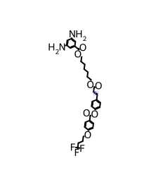 Nc1cc(N)cc(C(=O)OCCCCCCCOC(=O)/C=C/c2ccc(OC(=O)c3ccc(OCCCC(F)(F)F)cc3)cc2)c1